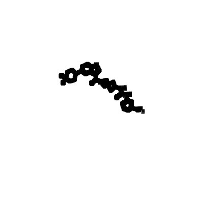 O=C(Nc1cccc(C(F)(F)F)c1)NC1CC2(C1)CN(C(=O)c1cnn3ccc(N4CCS(=O)(=O)CC4)cc13)C2